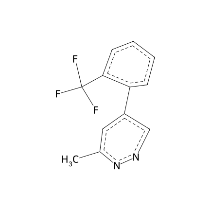 Cc1cc(-c2ccccc2C(F)(F)F)cnn1